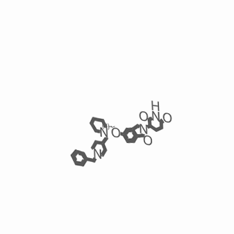 O=C1CCC(N2Cc3cc(OC[C@H]4CCCCN4CC4CCN(Cc5ccccc5)CC4)ccc3C2=O)C(=O)N1